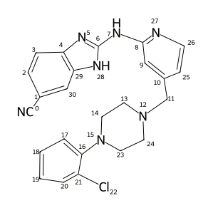 N#Cc1ccc2nc(Nc3cc(CN4CCN(c5ccccc5Cl)CC4)ccn3)[nH]c2c1